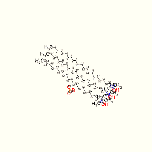 CCCCCCCCCCCCCCCCCCCCCC[N+](C)(C)O.CCCCCCCCCCCCCCCCCCCCCC[N+](C)(C)O.CCCCCCCCCCCCCCCCCCCCCC[N+](C)(C)O.[O-]P([O-])[O-]